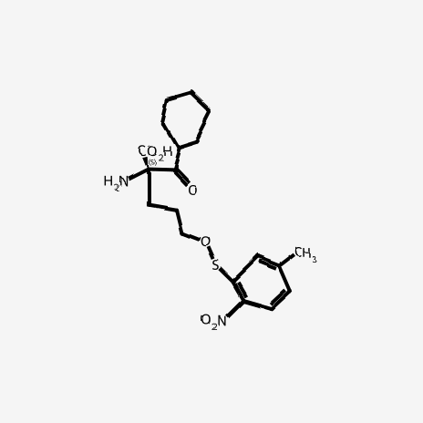 Cc1ccc([N+](=O)[O-])c(SOCCC[C@@](N)(C(=O)O)C(=O)C2CCCCC2)c1